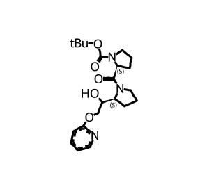 CC(C)(C)OC(=O)N1CCC[C@H]1C(=O)N1CCC[C@H]1C(O)COc1ccccn1